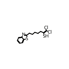 SC(CCCCCc1nc2ccccc2s1)=C(Cl)Cl